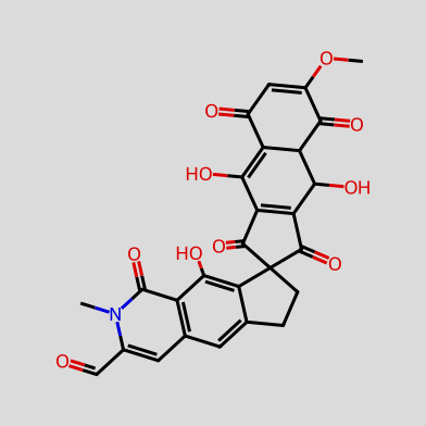 COC1=CC(=O)C2=C(O)C3=C(C(=O)C4(CCc5cc6cc(C=O)n(C)c(=O)c6c(O)c54)C3=O)C(O)C2C1=O